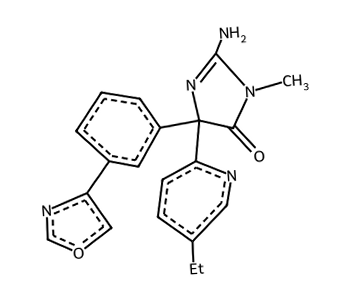 CCc1ccc(C2(c3cccc(-c4cocn4)c3)N=C(N)N(C)C2=O)nc1